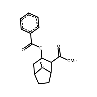 [CH2]N1C2CCC1C(C(=O)OC)C(OC(=O)c1ccccc1)C2